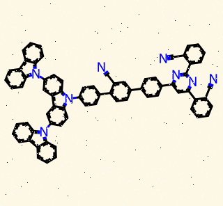 N#Cc1cc(-c2ccc(-c3cc(-c4ccccc4C#N)nc(-c4ccccc4C#N)n3)cc2)ccc1-c1ccc(-n2c3ccc(-n4c5ccccc5c5ccccc54)cc3c3cc(-n4c5ccccc5c5ccccc54)ccc32)cc1